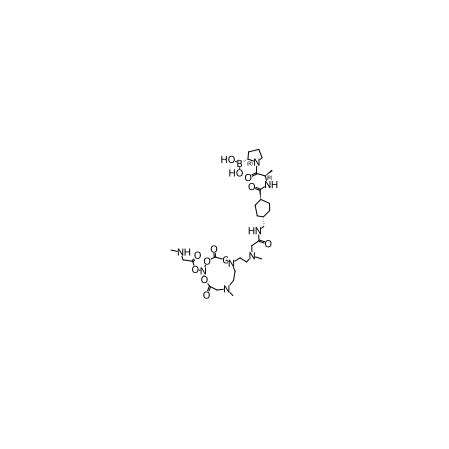 CNCC(=O)ON1OC(=O)CN(C)CCN(CCN(C)CC(=O)NC[C@H]2CC[C@H](C(=O)N[C@H](C)C(=O)N3CCC[C@H]3B(O)O)CC2)CC(=O)O1